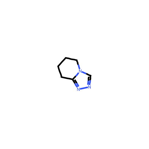 [CH]1CCCn2cnnc21